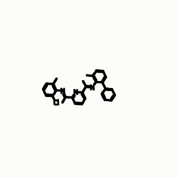 C/C(=N\c1c(C)cccc1Cl)c1cccc(/C(C)=N/c2c(C)cccc2-c2ccccc2)n1